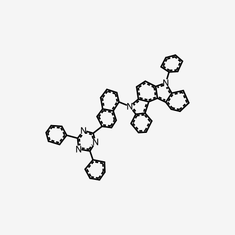 c1ccc(-c2nc(-c3ccccc3)nc(-c3ccc4c(-n5c6ccccc6c6c7c8ccccc8n(-c8ccccc8)c7ccc65)cccc4c3)n2)cc1